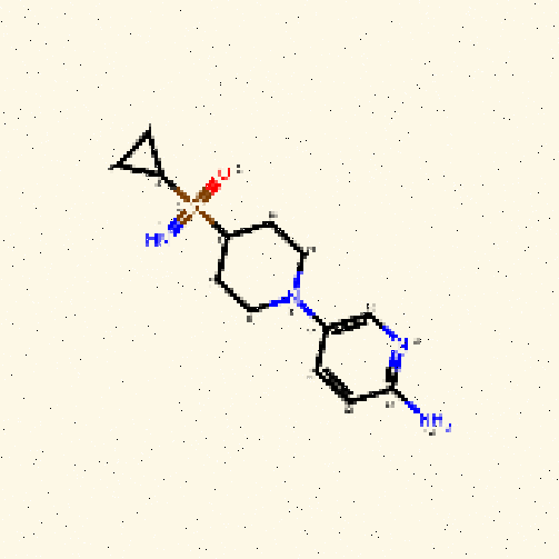 N=S(=O)(C1CC1)C1CCN(c2ccc(N)nc2)CC1